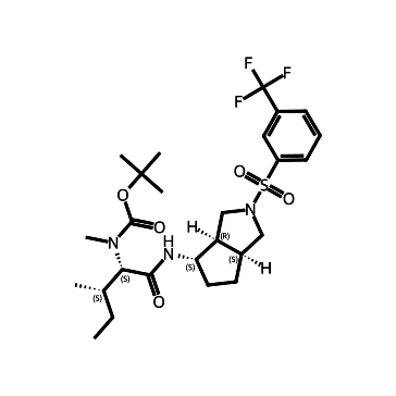 CC[C@H](C)[C@@H](C(=O)N[C@H]1CC[C@@H]2CN(S(=O)(=O)c3cccc(C(F)(F)F)c3)C[C@@H]21)N(C)C(=O)OC(C)(C)C